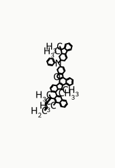 C=CC=C=C(C)c1c(C2=CC=CC3c4c(c5ccccc5c5c6c(oc45)CC(N(c4ccccc4)C4CC=C5c7ccccc7C(C)(C)C5C4)C=C6)C(C)(C)C23)cc2ccccc2c1C